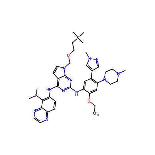 CN1CCN(c2cc(OCC(F)(F)F)c(Nc3nc(Nc4ccc5nccnc5c4P(C)C)c4ccn(COCC[Si](C)(C)C)c4n3)cc2-c2cnn(C)c2)CC1